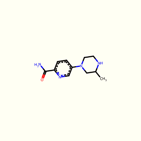 CC1CN(c2ccc(C(N)=O)nc2)CCN1